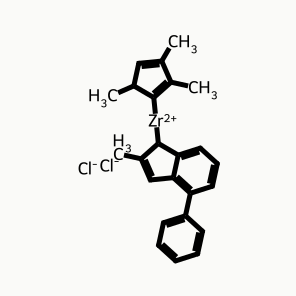 CC1=CC(C)[C]([Zr+2][CH]2C(C)=Cc3c(-c4ccccc4)cccc32)=C1C.[Cl-].[Cl-]